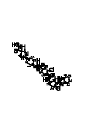 O=C(NO)c1cnc(N2CCC(CNS(=O)(=O)c3ccc(C(=O)Nc4ccc(Cl)c(-c5nc6ccccc6[nH]5)c4)c(Cl)c3)CC2)nc1